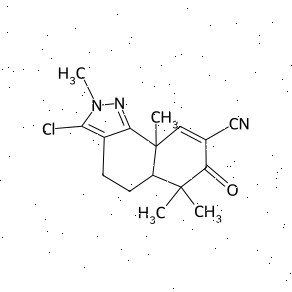 Cn1nc2c(c1Cl)CCC1C(C)(C)C(=O)C(C#N)=CC21C